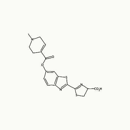 CN1CC=C(C(=O)Oc2ccc3nc(C4=NC(C(=O)O)CS4)sc3c2)CC1